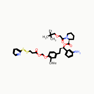 CCC(C)(C)COCC(=O)N1CCCC[C@H]1C(=O)O[C@H](CCc1ccc(OCOC(=O)CCSSc2ccccn2)c(OC)c1)c1cccc(N)c1